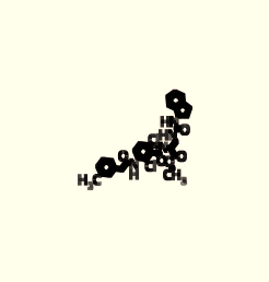 CCOC(=O)C(CNC(=O)NC1CCc2ccccc21)NC(=O)c1c(Cl)ccc(NC(=O)Cc2cccc(C)c2)c1Cl